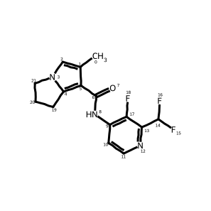 Cc1cn2c(c1C(=O)Nc1ccnc(C(F)F)c1F)CCC2